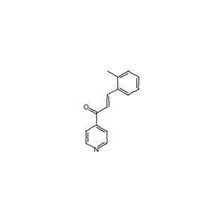 Cc1ccccc1C=CC(=O)c1ccncc1